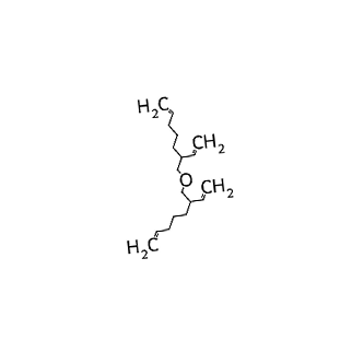 C=CCCCC(C=C)COCC(C=C)CCCC=C